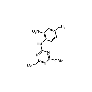 COc1nc(Nc2ccc(C)cc2[N+](=O)[O-])nc(OC)n1